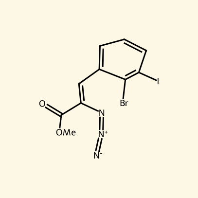 COC(=O)/C(=C/c1cccc(I)c1Br)N=[N+]=[N-]